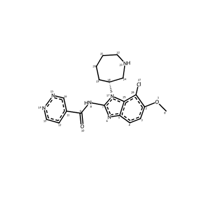 COc1ccc2nc(NC(=O)c3ccnnc3)n([C@@H]3CCCCNC3)c2c1Cl